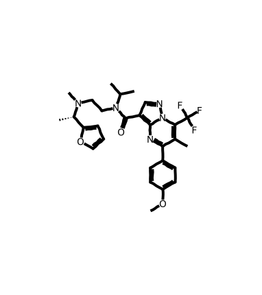 COc1ccc(-c2nc3c(C(=O)N(CCN(C)[C@@H](C)c4ccco4)C(C)C)cnn3c(C(F)(F)F)c2C)cc1